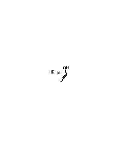 O=CO.[KH].[KH]